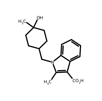 Cc1c(C(=O)O)c2ccccc2n1CC1CCC(C)(O)CC1